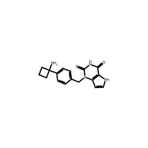 NC1(c2ccc(Cn3c(=S)[nH]c(=O)c4[nH]ccc43)cc2)CCC1